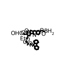 BC(=O)Oc1ccc2nc3c(cc2c1)Cn1c-3cc([C@H](CC)OC(=O)C(C)ON=C2c3ccccc3-c3ccccc32)c(COC=O)c1=O